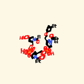 CCC(=O)N1C[C@H](O)C[C@H]1COP(=O)(O)O[C@@H]1C[C@@H](COP(=O)(O)O[C@@H]2C[C@@H](CCOC3CCC(CC)C3)N(C(=O)CC)C2)N(C(=O)CC)C1